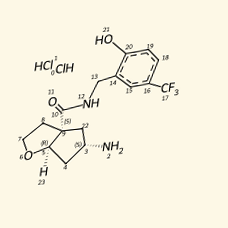 Cl.Cl.N[C@@H]1C[C@H]2OCC[C@@]2(C(=O)NCc2cc(C(F)(F)F)ccc2O)C1